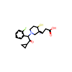 O=C(O)C/C=C1/CN(C(C(=O)C2CC2)c2ccccc2F)CCC1S